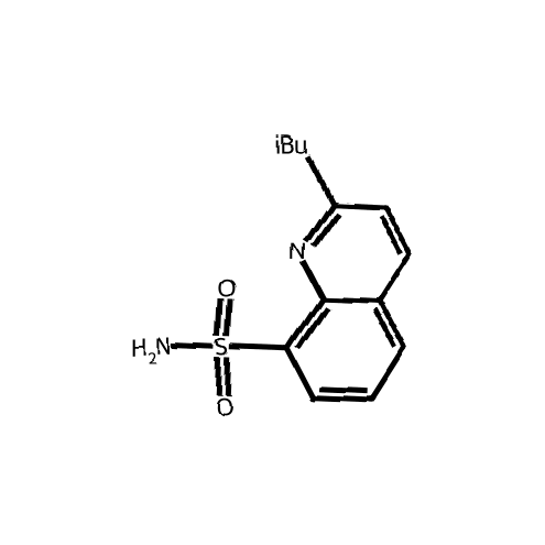 CCC(C)c1ccc2cccc(S(N)(=O)=O)c2n1